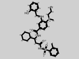 Cc1ccccc1S(=O)(=O)NC(=O)CC(NC(=O)c1ccc(N(C)CCC(C)C)c(NCc2ccccc2O)c1)C1CCCCC1